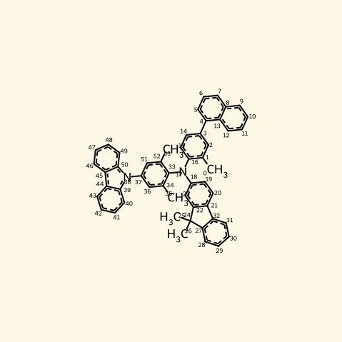 Cc1cc(-c2cccc3ccccc23)ccc1N(c1ccc2c(c1)C(C)(C)c1ccccc1-2)c1c(C)cc(-n2c3ccccc3c3ccccc32)cc1C